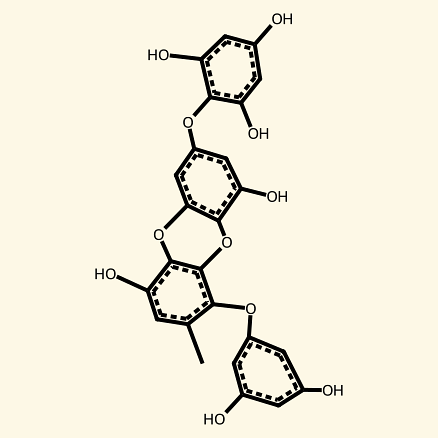 Cc1cc(O)c2c(c1Oc1cc(O)cc(O)c1)Oc1c(O)cc(Oc3c(O)cc(O)cc3O)cc1O2